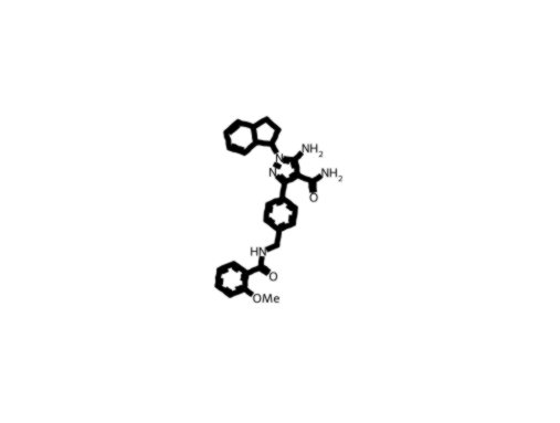 COc1ccccc1C(=O)NCc1ccc(-c2nn(C3CCC4C=CC=CC43)c(N)c2C(N)=O)cc1